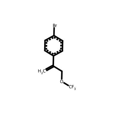 C=C(COC(F)(F)F)c1ccc(Br)cc1